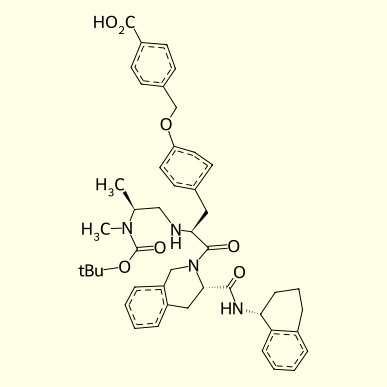 C[C@@H](CN[C@@H](Cc1ccc(OCc2ccc(C(=O)O)cc2)cc1)C(=O)N1Cc2ccccc2C[C@H]1C(=O)N[C@@H]1CCCc2ccccc21)N(C)C(=O)OC(C)(C)C